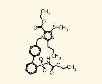 CCCc1nc(SC)c(C(=O)OCC)n1Cc1ccc(-c2ccccc2S(=O)(=O)NC(=O)OCC)cc1